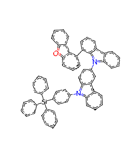 c1ccc([Si](c2ccccc2)(c2ccccc2)c2ccc(-n3c4ccccc4c4cc(-n5c6ccccc6c6cccc(-c7cccc8oc9ccccc9c78)c65)ccc43)cc2)cc1